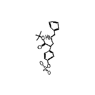 CC(C)(C)OC(=O)C(CNCc1ccccc1)c1ccc(OS(C)(=O)=O)cc1